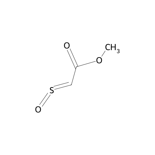 COC(=O)C=S=O